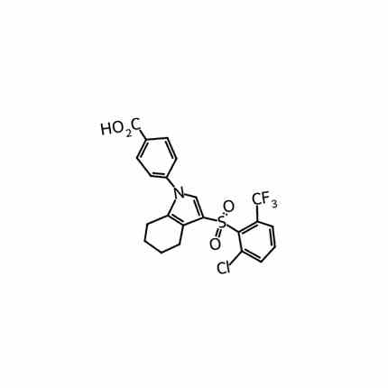 O=C(O)c1ccc(-n2cc(S(=O)(=O)c3c(Cl)cccc3C(F)(F)F)c3c2CCCC3)cc1